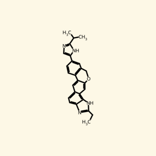 CCc1nc2ccc3cc4c(cc3c2[nH]1)OCc1cc(-c2cnc(C(C)C)[nH]2)ccc1-4